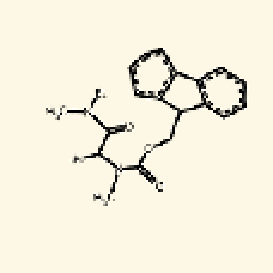 CCN(C)C(=O)C(C(C)C)N(C)C(=O)OCC1c2ccccc2-c2ccccc21